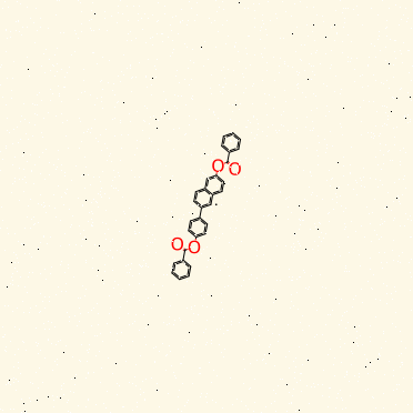 O=C(Oc1ccc(-c2[c]c3ccc(OC(=O)c4ccccc4)cc3cc2)cc1)c1ccccc1